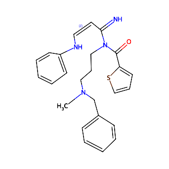 CN(CCCN(C(=N)/C=C\Nc1ccccc1)C(=O)c1cccs1)Cc1ccccc1